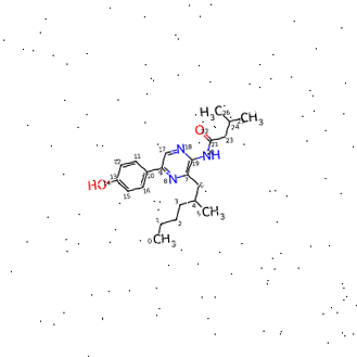 CCCCC(C)Cc1nc(-c2ccc(O)cc2)cnc1NC(=O)CC(C)C